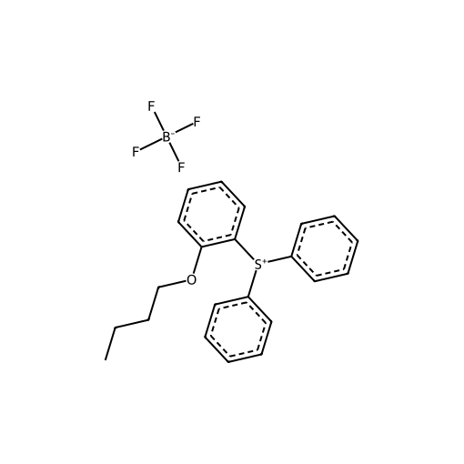 CCCCOc1ccccc1[S+](c1ccccc1)c1ccccc1.F[B-](F)(F)F